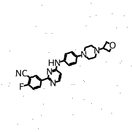 N#Cc1cc(-c2nccc(Nc3ccc(N4CCN(C5COC5)CC4)cc3)n2)ccc1F